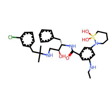 CCNc1cc(C(=O)N[C@@H](Cc2ccccc2)[C@@H](O)CNC(C)(C)Cc2cccc(Cl)c2)cc(N2CCCCS2(O)O)c1